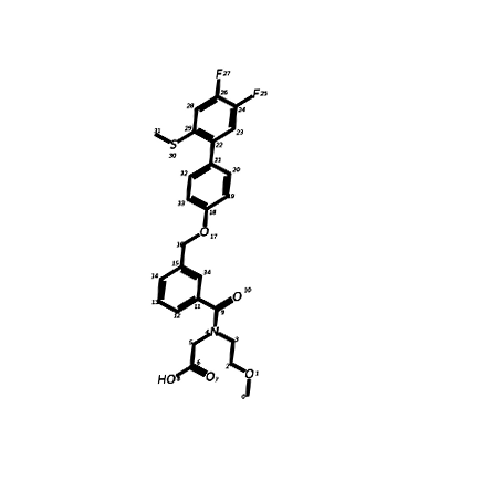 COCCN(CC(=O)O)C(=O)c1cccc(COc2ccc(-c3cc(F)c(F)cc3SC)cc2)c1